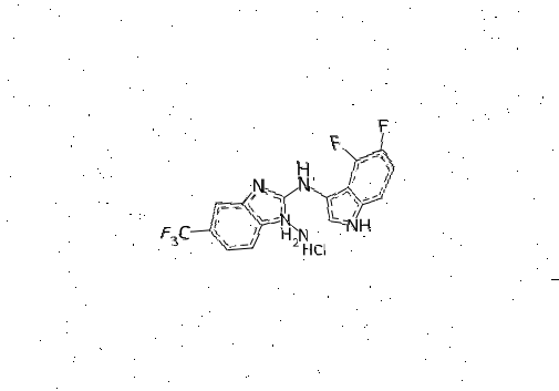 Cl.Nn1c(Nc2c[nH]c3ccc(F)c(F)c23)nc2cc(C(F)(F)F)ccc21